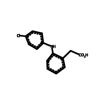 O=C(O)Cc1ccccc1Nc1ccc(Cl)cc1